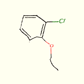 CCOc1[c]cccc1Cl